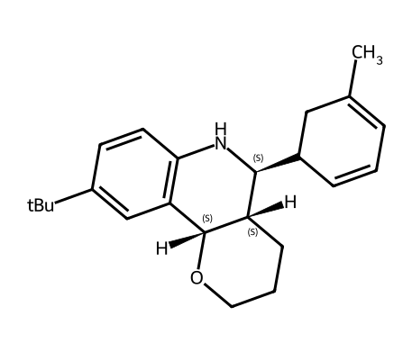 CC1=CC=CC([C@@H]2Nc3ccc(C(C)(C)C)cc3[C@H]3OCCC[C@H]32)C1